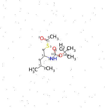 CC(=O)SCC(CC(C)C)NC(=O)OC(C)(C)C